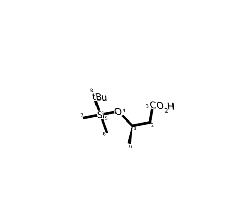 C[C@H](CC(=O)O)O[Si](C)(C)C(C)(C)C